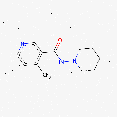 O=C(NN1CCCCC1)c1cnccc1C(F)(F)F